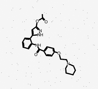 CC(=O)Oc1cc(-c2ccccc2NC(=O)c2ccc(OCCN3CCCCC3)cc2)[nH]n1